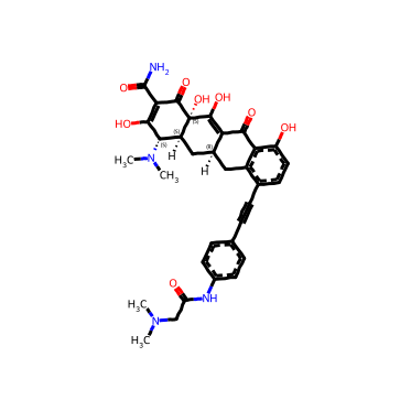 CN(C)CC(=O)Nc1ccc(C#Cc2ccc(O)c3c2C[C@H]2C[C@H]4[C@H](N(C)C)C(O)=C(C(N)=O)C(=O)[C@@]4(O)C(O)=C2C3=O)cc1